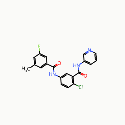 Cc1cc(F)cc(C(=O)Nc2ccc(Cl)c(C(=O)Nc3cccnc3)c2)c1